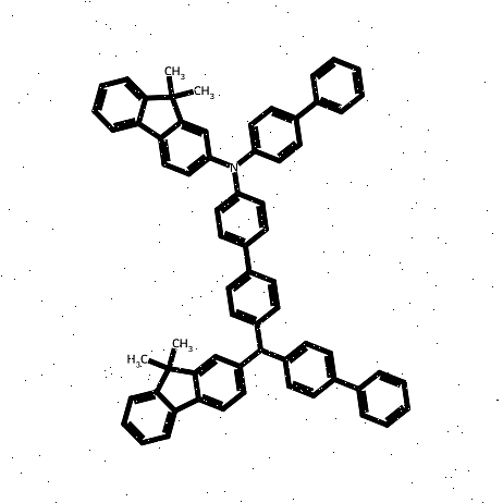 CC1(C)c2ccccc2-c2ccc(C(c3ccc(-c4ccccc4)cc3)c3ccc(-c4ccc(N(c5ccc(-c6ccccc6)cc5)c5ccc6c(c5)C(C)(C)c5ccccc5-6)cc4)cc3)cc21